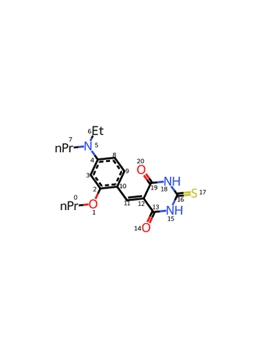 CCCOc1cc(N(CC)CCC)ccc1C=C1C(=O)NC(=S)NC1=O